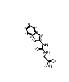 O=C(O)CNC(=S)Nc1nc2ccccc2s1